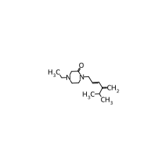 C=C(/C=C/CN1CCN(CC)CC1=O)C(C)C